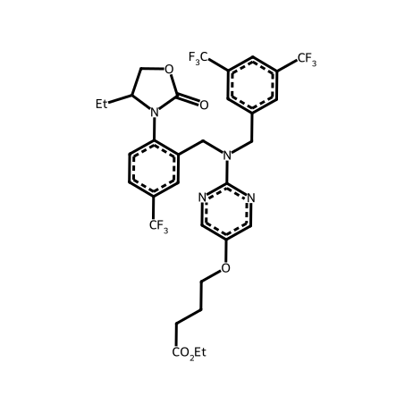 CCOC(=O)CCCOc1cnc(N(Cc2cc(C(F)(F)F)cc(C(F)(F)F)c2)Cc2cc(C(F)(F)F)ccc2N2C(=O)OCC2CC)nc1